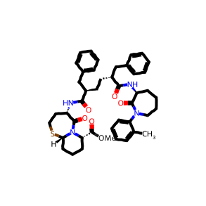 COC(=O)[C@@H]1CCC[C@@H]2SCC[C@H](NC(=O)[C@H](CC[C@H](Cc3ccccc3)C(=O)N[C@H]3CCCCN(c4ccccc4C)C3=O)Cc3ccccc3)C(=O)N21